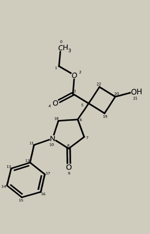 CCOC(=O)C1(C2CC(=O)N(Cc3ccccc3)C2)CC(O)C1